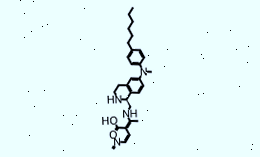 C=N/C=C\C(C(=O)O)=C(/C)NC[C@H]1NCCc2cc(N(C)c3ccc(CCCCCC)cc3)ccc21